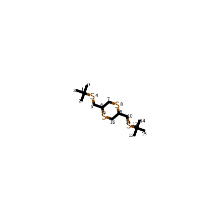 CC(C)(C)SCC1CSC(CSC(C)(C)C)CS1